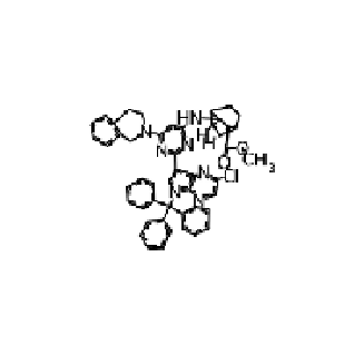 COC(=O)[C@@H]1C2CCC(CC2)[C@H]1Nc1cc(N2CCc3ccccc3C2)nc(-c2cn(C(c3ccccc3)(c3ccccc3)c3ccccc3)c3ncc(Cl)nc23)n1